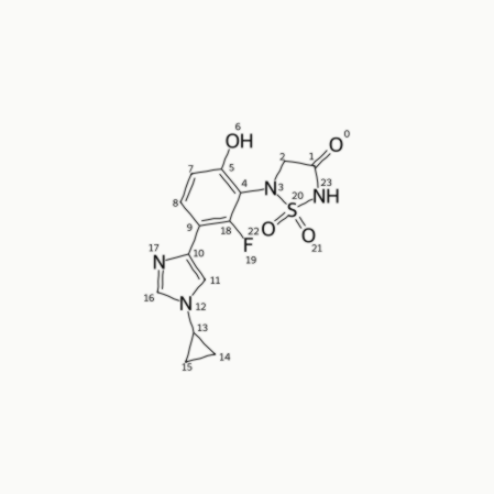 O=C1CN(c2c(O)ccc(-c3cn(C4CC4)cn3)c2F)S(=O)(=O)N1